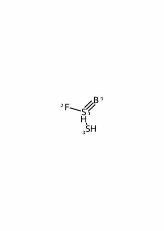 B#[SH](F)S